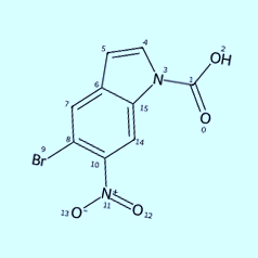 O=C(O)n1ccc2cc(Br)c([N+](=O)[O-])cc21